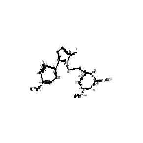 Cc1ccc(-c2ccc(Cl)cc2)n1CC[C@@H]1C[C@@H](O)CC(=O)O1